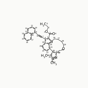 CCOC(=O)c1c(C#Cc2cccc3ccccc23)c2cccc3c2n1CCCCOCc1nn(C)c(C)c1-3